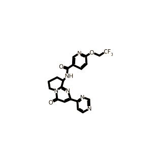 O=C(NC1CCCn2c1nc(-c1ccncn1)cc2=O)c1ccc(OCC(F)(F)F)nc1